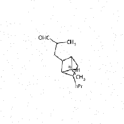 CCCC1CC2C(CC(C)C=O)C1[C@H]2C